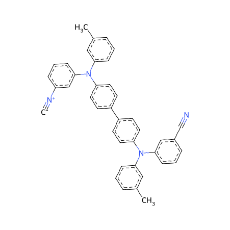 [C-]#[N+]c1cccc(N(c2ccc(-c3ccc(N(c4cccc(C)c4)c4cccc(C#N)c4)cc3)cc2)c2cccc(C)c2)c1